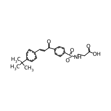 CC(C)(C)c1ccc(C=CC(=O)c2ccc(S(=O)(=O)NCCC(=O)O)cc2)cc1